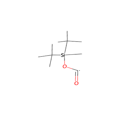 CC(C)(C)[Si](C)(O[C]=O)C(C)(C)C